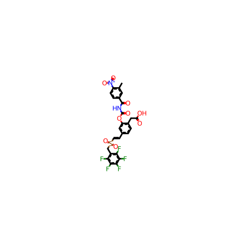 Cc1cc(C(=O)NC(=O)Oc2cc(C=CS(=O)(=O)Cc3c(F)c(F)c(F)c(F)c3F)ccc2CC(=O)O)ccc1[N+](=O)[O-]